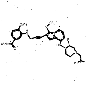 CNC(=O)c1ccc(OC)c(NCC#Cc2cc3c(N[C@@H]4CCN(CC(C)O)C[C@@H]4F)cccn3c2SC(F)(F)F)c1